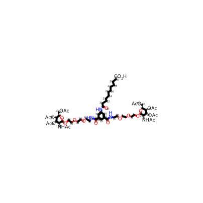 CC(=O)N[C@H]1C(OCCOCCOCCNC(=O)c2cc(NC(=O)CCCCCCCCCCC(=O)O)cc(C(=O)NCCOCCOCCOC3O[C@H](COC(C)=O)[C@H](OC(C)=O)[C@H](OC(C)=O)[C@H]3NC(C)=O)c2)O[C@H](COC(C)=O)[C@H](OC(C)=O)[C@@H]1OC(C)=O